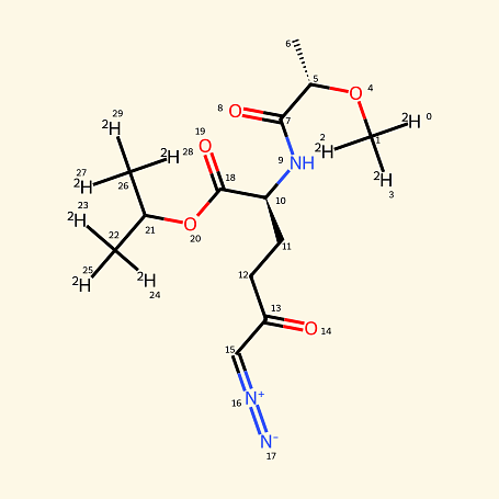 [2H]C([2H])([2H])O[C@@H](C)C(=O)N[C@@H](CCC(=O)C=[N+]=[N-])C(=O)OC(C([2H])([2H])[2H])C([2H])([2H])[2H]